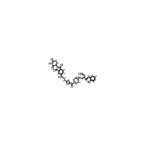 N=C/C(=C\NC1CCN(C(=O)[C@@H]2C[C@H](CCNc3ccc4c(c3)C(=O)N(C3CCC(=O)NC3=O)C4=O)O2)CC1)c1cnc2ccccc2n1